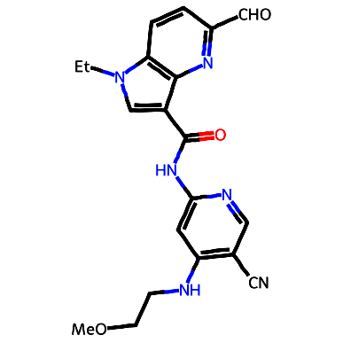 CCn1cc(C(=O)Nc2cc(NCCOC)c(C#N)cn2)c2nc(C=O)ccc21